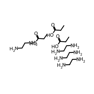 CCC(=O)O.CCC(=O)O.CCC(=O)O.NCCN.NCCN.NCCN.NCCN